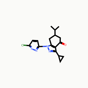 CC(C)C1CC(=O)c2c(C3CC3)nn(-c3ccc(Cl)nn3)c2C1